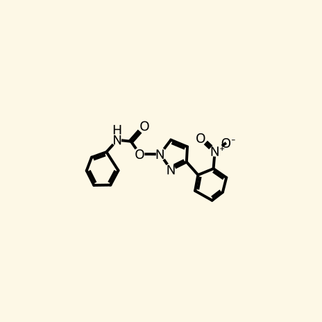 O=C(Nc1ccccc1)On1ccc(-c2ccccc2[N+](=O)[O-])n1